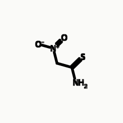 NC(=S)C[N+](=O)[O-]